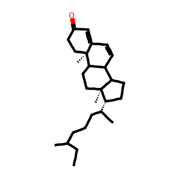 CCC(C)CCCC(C)[C@H]1CCC2C3C=CC4=CC(=O)CC[C@]4(C)C3CC[C@@]21C